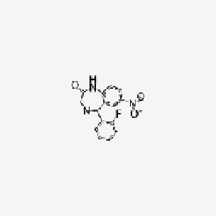 O=C1CN=C(c2ccccc2F)c2cc([N+](=O)[O-])ccc2N1